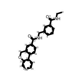 CCNC(=O)c1cccc(CNC(=O)c2ccc3c(c2)COc2cnccc2-3)c1